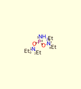 CCN(CC)OP(N)ON(CC)CC